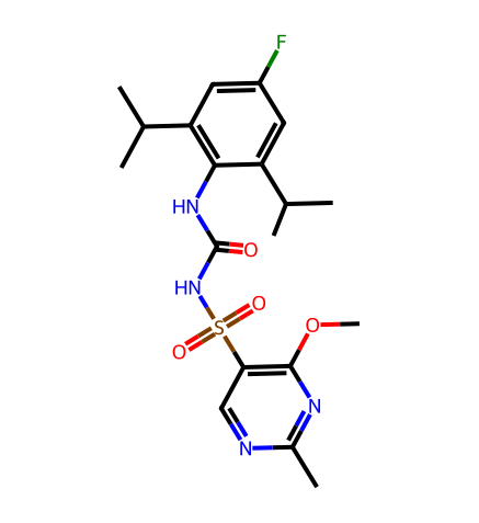 COc1nc(C)ncc1S(=O)(=O)NC(=O)Nc1c(C(C)C)cc(F)cc1C(C)C